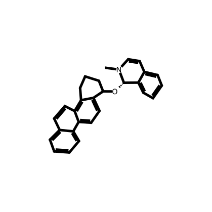 CN1C=Cc2ccccc2[C@@H]1OC1CCCc2c1ccc1c2ccc2ccccc21